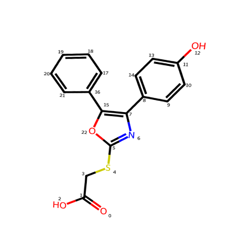 O=C(O)CSc1nc(-c2ccc(O)cc2)c(-c2ccccc2)o1